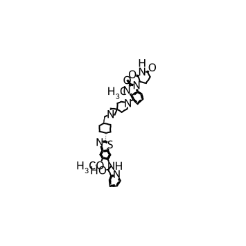 COc1cc2nc([C@H]3CC[C@H](CN4CC5(CCN(c6cccc7c6n(C)c(=O)n7C6CCC(=O)NC6=O)CC5)C4)CC3)sc2cc1NC(O)c1ccccn1